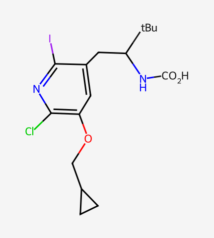 CC(C)(C)C(Cc1cc(OCC2CC2)c(Cl)nc1I)NC(=O)O